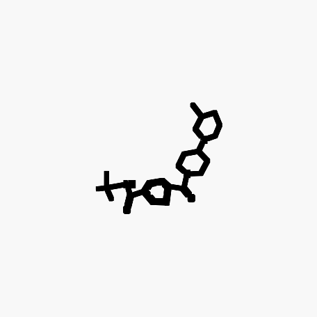 CC1CCCN(C2CCN(C(=O)c3ccc(C(=O)NC(C)(C)C)cc3)CC2)C1